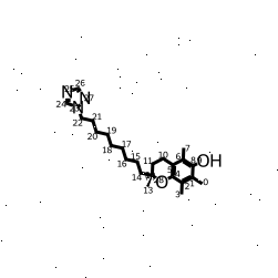 Cc1c(C)c2c(c(C)c1O)CC[C@@](C)(CCCCCCCCCn1cncn1)O2